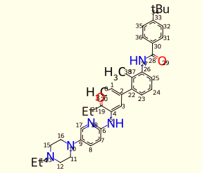 C/C=C(\C=C(\Nc1ccc(N2CCN(CC)CC2)cn1)C(=O)CC)c1cccc(NC(=O)c2ccc(C(C)(C)C)cc2)c1C